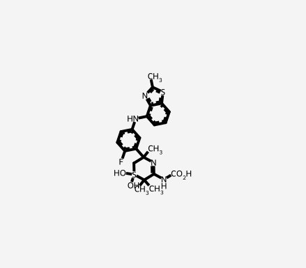 Cc1nc2c(Nc3ccc(F)c(C4(C)CS(O)(O)C(C)(C)C(NC(=O)O)=N4)c3)cccc2s1